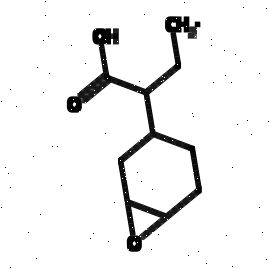 [CH2]CC(C(=O)O)C1CCC2OC2C1